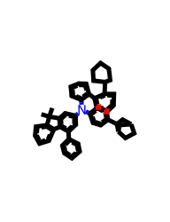 CC1(C)c2ccccc2-c2c(-c3ccccc3)cc(N(c3ccc(C4CC5CCC4C5)cc3)c3ccccc3-c3ccccc3C3CCCCC3)cc21